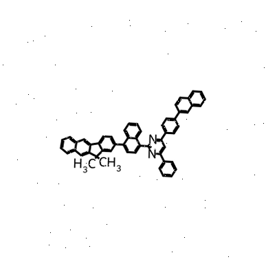 CC1(C)c2cc(-c3ccc(-c4nc(-c5ccccc5)cc(-c5ccc(-c6ccc7ccccc7c6)cc5)n4)c4ccccc34)ccc2-c2cc3ccccc3cc21